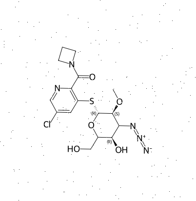 CO[C@H]1C(N=[N+]=[N-])[C@@H](O)C(CO)O[C@@H]1Sc1cc(Cl)cnc1C(=O)N1CCC1